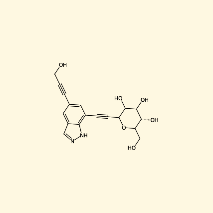 OCC#Cc1cc(C#CC2OC(CO)[C@@H](O)C(O)C2O)c2[nH]ncc2c1